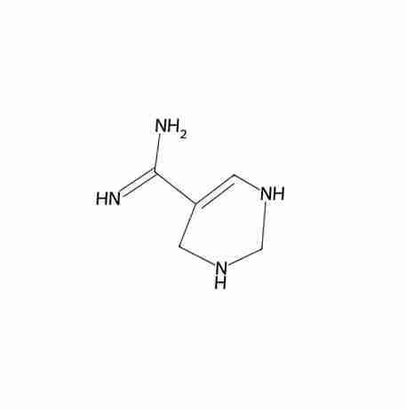 N=C(N)C1=CNCNC1